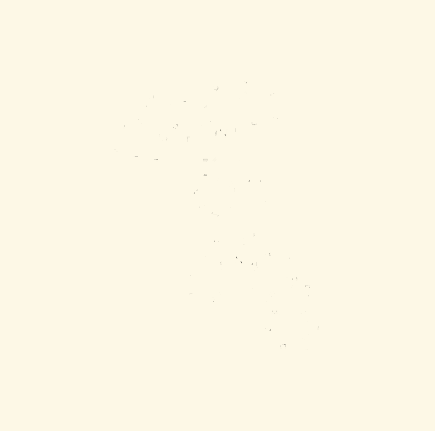 Cc1ccccc1N(c1cc(C)c(-c2c(C)cc(N(c3ccc4oc5ccccc5c4c3)c3ccccc3C)cc2C)c(C)c1)c1ccc2oc3ccccc3c2c1